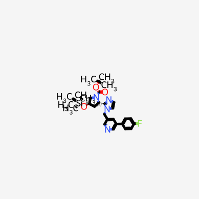 CC(C)(C)OC(=O)N1C[C@H](O[Si](C)(C)C(C)(C)C)C[C@H]1c1nccn1Cc1cncc(-c2ccc(F)cc2)c1